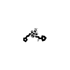 [N-]=[N+]=C(S(=O)(=O)CC=CC1CCCC1)S(=O)(=O)CC=C(F)c1ccccc1